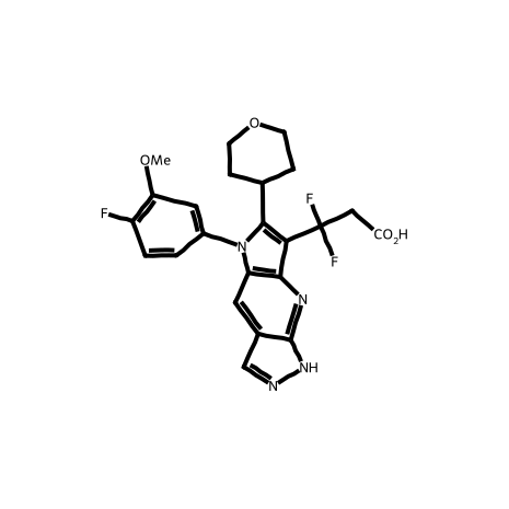 COc1cc(-n2c(C3CCOCC3)c(C(F)(F)CC(=O)O)c3nc4[nH]ncc4cc32)ccc1F